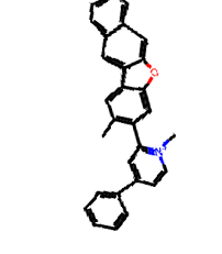 Cc1cc2c(cc1-c1cc(-c3ccccc3)cc[n+]1C)oc1cc3ccccc3cc12